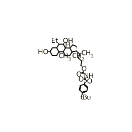 CC[C@@H]1C2C[C@H](O)CC[C@]2(C)C2CC[C@@]3(C)C(CC[C@@H]3[C@H](C)CCCOC(=O)NS(=O)(=O)c3ccc(C(C)(C)C)cc3)[C@@H]2[C@@H]1O